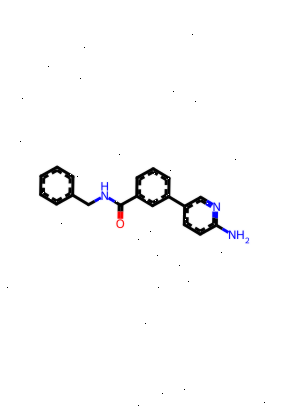 Nc1ccc(-c2cccc(C(=O)NCc3ccccc3)c2)cn1